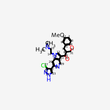 COc1ccc2c(c1)CC(C(=O)c1cn(CCN(C)C)c3cc(-c4c[nH]nc4Cl)ncc13)CO2